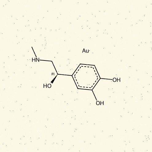 CNC[C@H](O)c1ccc(O)c(O)c1.[Au]